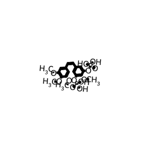 COc1cc(/C=C\c2cc(OP(=O)(O)O)c(OC)c(OP(=O)(O)O)c2)cc(OC)c1OC